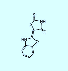 O=C1NC(=S)SC1=C1Nc2ccccc2O1